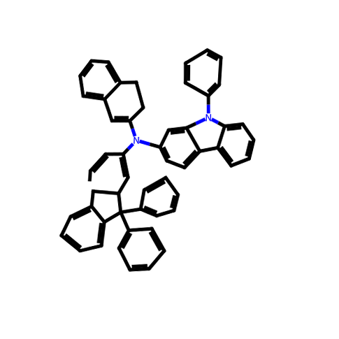 C/C=C\C(=C/C1Cc2ccccc2C1(c1ccccc1)c1ccccc1)N(C1=Cc2ccccc2CC1)c1ccc2c3ccccc3n(-c3ccccc3)c2c1